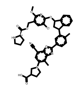 COc1nc(OC2CC(c3cc(-c4nc5c(C)c(N6CCC(C(=O)O)C6)cc(C#N)c5o4)ccc3C)c3ccccc32)c(Cl)cc1COC(=O)[C@H]1CCCN1